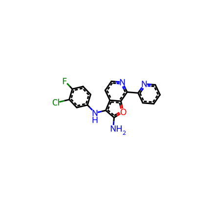 Nc1oc2c(-c3ccccn3)nccc2c1Nc1ccc(F)c(Cl)c1